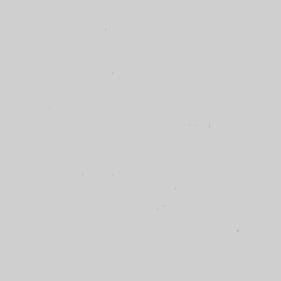 O=C(O)C=CCC1C(O)CC(OC2CCCCO2)C1OCC(COc1ccccc1)OC1CCCCO1